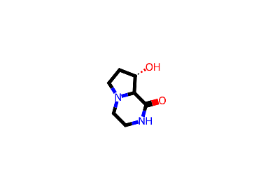 O=C1NCCN2CC[C@H](O)C12